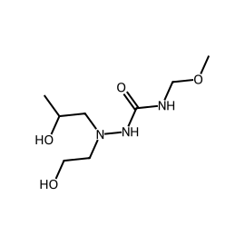 COCNC(=O)NN(CCO)CC(C)O